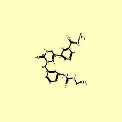 CCOC(=O)Nc1cccc(CN2N=C(c3cccc(C(=O)OC)c3)CSC2=O)c1